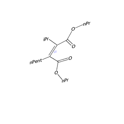 CCCCC/C(C(=O)OCCC)=C(/C(=O)OCCC)C(C)C